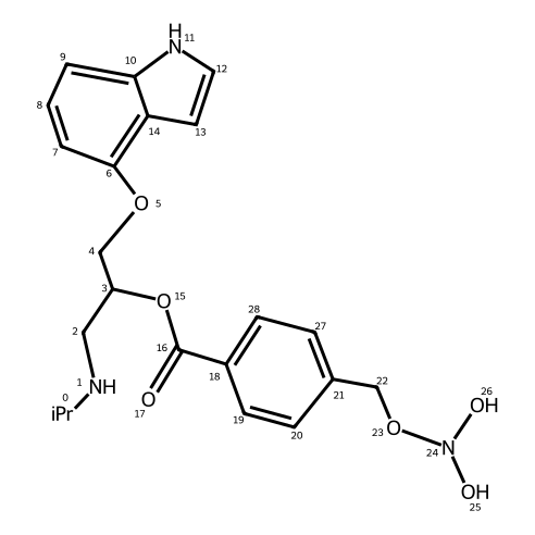 CC(C)NCC(COc1cccc2[nH]ccc12)OC(=O)c1ccc(CON(O)O)cc1